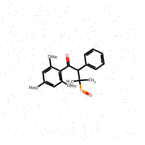 COc1cc(OC)c(C(=O)C(c2ccccc2)C(C)(C)P=O)c(OC)c1